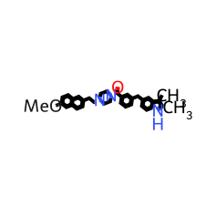 COc1ccc2cc(CCN3CCN(C(=O)c4cccc(Cc5ccc6[nH]c(C)c(C)c6c5)c4)CC3)ccc2c1